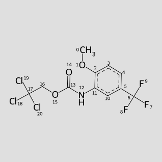 COc1ccc(C(F)(F)F)cc1NC(=O)OCC(Cl)(Cl)Cl